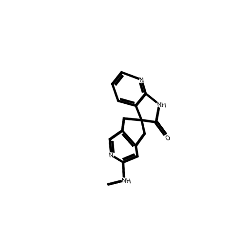 CNc1cc2c(cn1)CC1(C2)C(=O)Nc2ncccc21